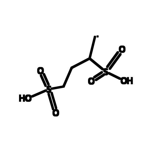 [CH2]C(CCS(=O)(=O)O)S(=O)(=O)O